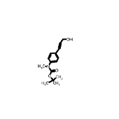 CN(C(=O)OC(C)(C)C)c1ccc(C#CCO)cc1